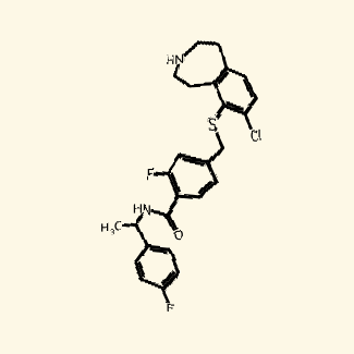 CC(NC(=O)c1ccc(CSc2c(Cl)ccc3c2CCNCC3)cc1F)c1ccc(F)cc1